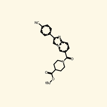 CC(C)(C)OC(=O)C1CCN(C(=O)c2ccc3nc(-c4ccc(C#N)cc4)cn3c2)CC1